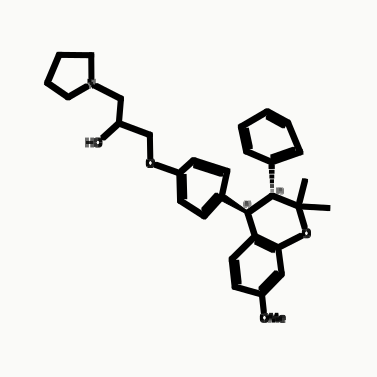 COc1ccc2c(c1)OC(C)(C)[C@@H](c1ccccc1)[C@@H]2c1ccc(OCC(O)CN2CCCC2)cc1